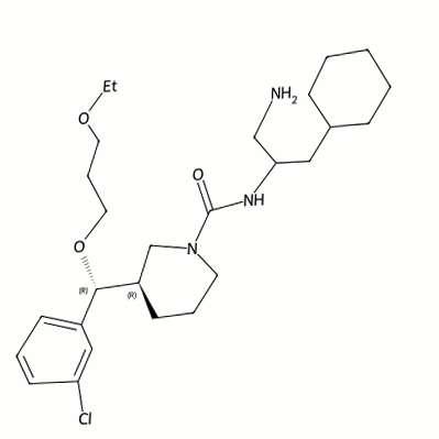 CCOCCCO[C@@H](c1cccc(Cl)c1)[C@@H]1CCCN(C(=O)NC(CN)CC2CCCCC2)C1